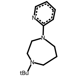 CC(C)(C)N1CCCN(c2ccccn2)CC1